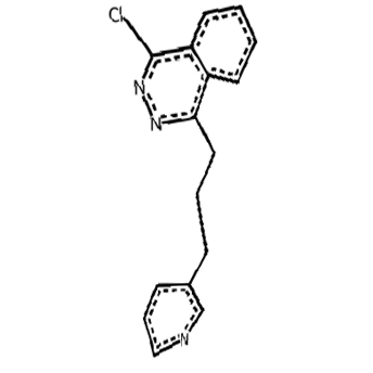 Clc1nnc(CCCc2cccnc2)c2ccccc12